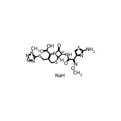 CO/N=C(\C(=O)N[C@@H]1C(=O)N2C(C(=O)O)=C(CSc3nnnn3C)CS[C@H]12)c1csc(N)n1.[NaH]